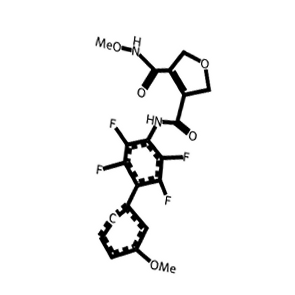 CONC(=O)C1=C(C(=O)Nc2c(F)c(F)c(-c3cccc(OC)c3)c(F)c2F)COC1